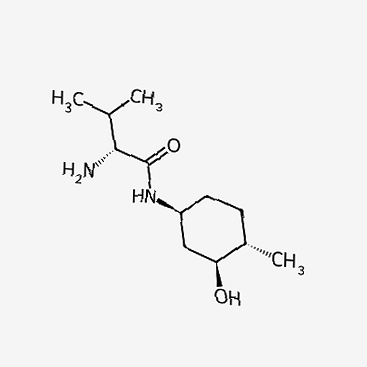 CC(C)[C@@H](N)C(=O)N[C@H]1CC[C@H](C)[C@@H](O)C1